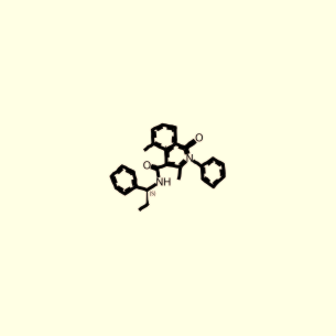 CC[C@H](NC(=O)c1c(C)n(-c2ccccc2)c(=O)c2cccc(C)c12)c1ccccc1